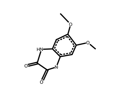 COc1cc2c(cc1OC)NC(=O)C(=O)[N]2